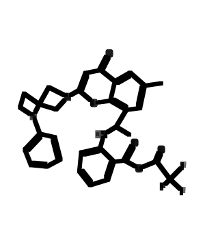 Cc1cc(C(C)Nc2ccccc2C(=O)OC(=O)C(F)(F)F)c2oc(N3CC4(CCN4c4ccccc4)C3)cc(=O)c2c1